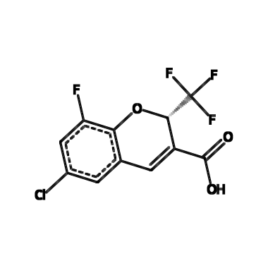 O=C(O)C1=Cc2cc(Cl)cc(F)c2O[C@@H]1C(F)(F)F